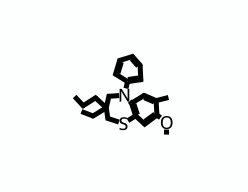 CCCC1(CC)CSc2cc(OC)c(C)cc2N(c2ccccc2)C1